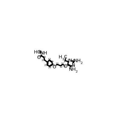 CCc1nc(N)nc(N)c1OCCCOc1ccc(CCC(=O)NO)cc1